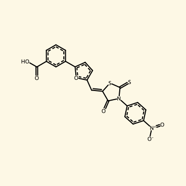 O=C(O)c1cccc(-c2ccc(/C=C3\SC(=S)N(c4ccc([N+](=O)[O-])cc4)C3=O)o2)c1